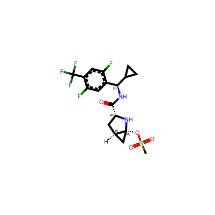 CS(=O)(=O)O[C@]12C[C@H]1C[C@H](C(=O)N[C@@H](c1cc(F)c(C(F)(F)F)cc1F)C1CC1)N2